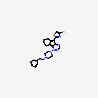 CC(C)(C)c1csc(-c2c3ncnn(N4CCN(CCc5ccccc5)CC4)c-3c3c2CCCC3)n1